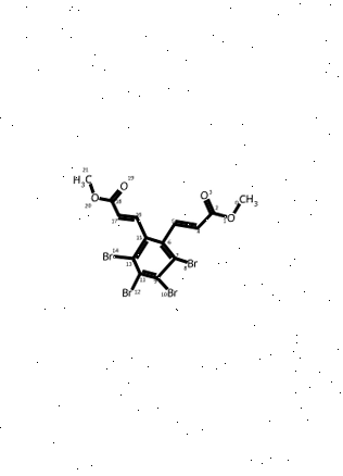 COC(=O)C=Cc1c(Br)c(Br)c(Br)c(Br)c1C=CC(=O)OC